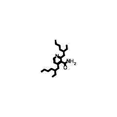 CCCCC(CC)Cc1ccnc(CC(CC)CCCC)c1C(N)=O